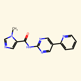 Cn1cncc1C(=O)Nc1ncc(-c2ccccn2)cn1